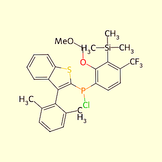 COCOc1c(P(Cl)c2sc3ccccc3c2-c2c(C)cccc2C)ccc(C(F)(F)F)c1[Si](C)(C)C